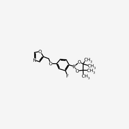 CC1(C)OB(c2ccc(OCc3cnco3)cc2F)OC1(C)C